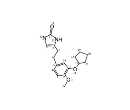 COc1ccc(CCC2=C[N]C(=O)N2)cc1OC1CCCC1